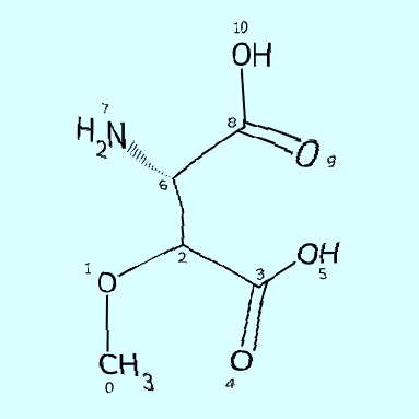 COC(C(=O)O)[C@H](N)C(=O)O